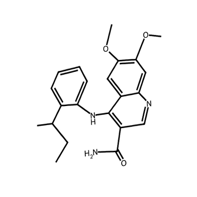 CCC(C)c1ccccc1Nc1c(C(N)=O)cnc2cc(OC)c(OC)cc12